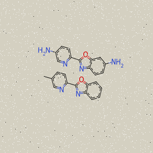 Cc1ccc(-c2nc3ccccc3o2)nc1.Nc1ccc(-c2nc3ccc(N)cc3o2)nc1